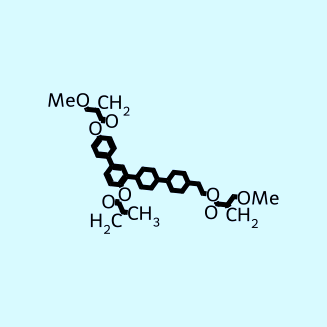 C=C(C)C(=O)Oc1ccc(-c2ccc(OC(=O)C(=C)COC)cc2)cc1C1CCC(C2CCC(CCOC(=O)C(=C)COC)CC2)CC1